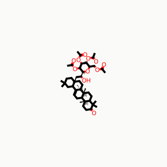 CC(=O)OCC1O[C@@H](C(O)C[C@]23CCC(C)(C)CC2C2=CCC4[C@@]5(C)CCC(=O)C(C)(C)C5CC[C@@]4(C)[C@]2(C)CC3)C(OC(C)=O)C(OC(C)=O)[C@@H]1OC(C)=O